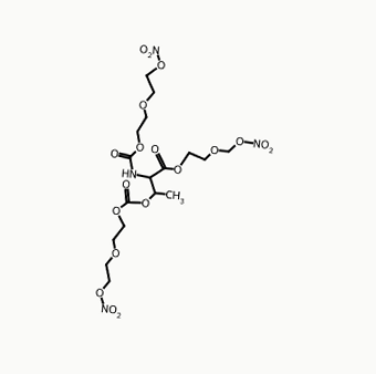 CC(OC(=O)OCCOCCO[N+](=O)[O-])C(NC(=O)OCCOCCO[N+](=O)[O-])C(=O)OCCOCO[N+](=O)[O-]